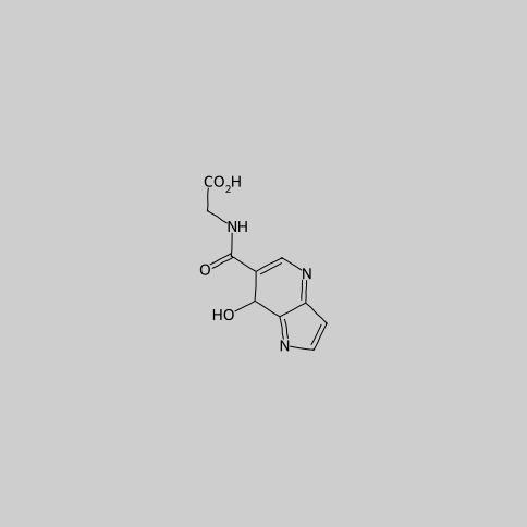 O=C(O)CNC(=O)C1=CN=C2C=CN=C2C1O